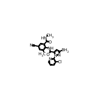 Bc1cc(C(=O)Nc2c(C)cc(C#N)cc2C(=O)NC)n(-c2ncccc2Cl)n1